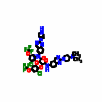 CN(C)C1CCN(c2ncc3cc(NC(=O)C(Oc4ccc(OC(F)(F)F)cc4Cl)C(Oc4ccc(OC(F)(F)F)cc4Cl)C(=O)Nc4ccc5nc(N6CC7CC6CN7)ncc5c4)ccc3n2)CC1